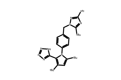 CCCCc1nc(CCC)nn1Cc1ccc(-n2c(C(C)(C)C)cc(C(C)(C)C)c2-c2nnn[nH]2)cc1